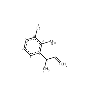 C=C[C](C)c1cccc(CC)c1C(F)(F)F